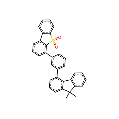 CC1(C)c2ccccc2-c2c(-c3cccc(-c4cccc5c4S(=O)(=O)c4ccccc4-5)c3)cccc21